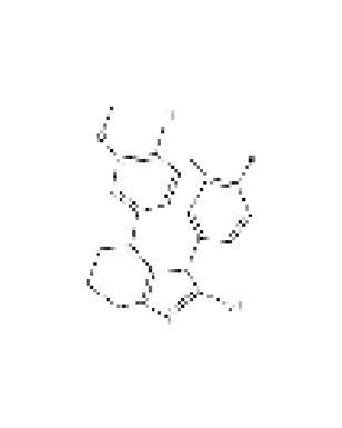 COc1cc(C2CCCc3nc(S)n(-c4ccc(F)c(C)c4)c32)ccc1Cl